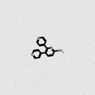 Nc1ccc(-c2ccncc2)c(-c2ccncc2)n1